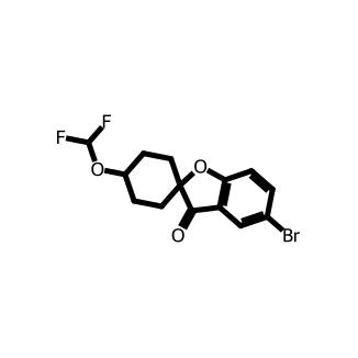 O=C1c2cc(Br)ccc2OC12CCC(OC(F)F)CC2